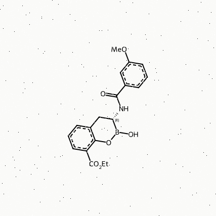 CCOC(=O)c1cccc2c1OB(O)[C@@H](NC(=O)c1cccc(OC)c1)C2